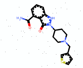 NC(=O)c1cccc2[nH]n(C3CCN(Cc4ccsc4)CC3)c(=O)c12